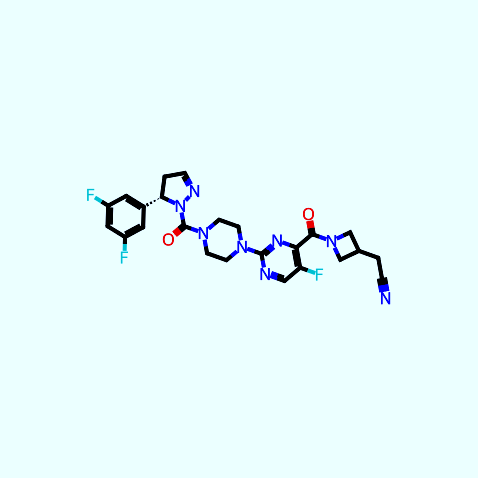 N#CCC1CN(C(=O)c2nc(N3CCN(C(=O)N4N=CC[C@H]4c4cc(F)cc(F)c4)CC3)ncc2F)C1